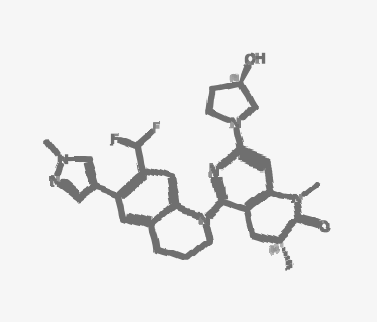 C[C@@H]1Cc2c(cc(N3CC[C@@H](O)C3)nc2N2CCCc3cc(-c4cnn(C)c4)c(C(F)F)cc32)N(C)C1=O